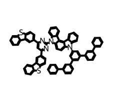 c1ccc(-c2cccc(-c3cc(-c4cccc(-c5ccccc5)c4)cc(-n4c5ccccc5c5c6c7ccccc7n(-c7nc(-c8ccc9sc%10ccccc%10c9c8)cc(-c8ccc9sc%10ccccc%10c9c8)n7)c6ccc54)c3)c2)cc1